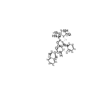 CC(C)(C)NC(=O)C(=O)[C@H](C[C@@H]1CCNC1=O)NC(=O)[C@H](Cc1ccccc1)NC(=O)c1cnc2ccccc2n1